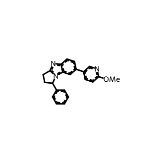 COc1ccc(-c2ccc3nc4n(c3c2)C(c2ccccc2)CC4)cn1